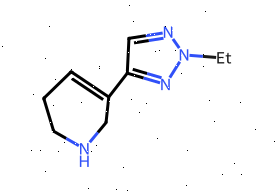 CCn1ncc(C2=CCCNC2)n1